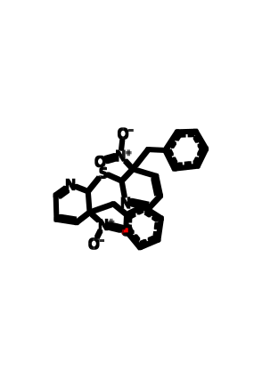 O=[N+]([O-])C1(Cc2ccccc2)C=CC=NC1SC1N=CC=CC1(Cc1ccccc1)[N+](=O)[O-]